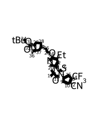 CCc1cc(N2C(=S)N(c3ccc(C#N)c(C(F)(F)F)c3)C(=O)C2(C)C)cnc1OCC[C@@H]1CCN(C(=O)OC(C)(C)C)[C@H](C)C1